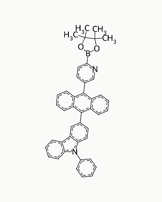 CC1(C)OB(c2ccc(-c3c4ccccc4c(-c4ccc5c(c4)c4ccccc4n5-c4ccccc4)c4ccccc34)cn2)OC1(C)C